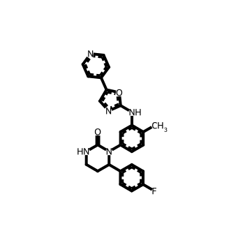 Cc1ccc(N2C(=O)NCCC2c2ccc(F)cc2)cc1Nc1ncc(-c2ccncc2)o1